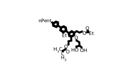 C=C(C)C(=O)OCCCc1cc(-c2ccc(-c3ccc(CCCCC)cc3)cc2CC)cc(CCCOC(=O)CC)c1OCCC(CO)CO